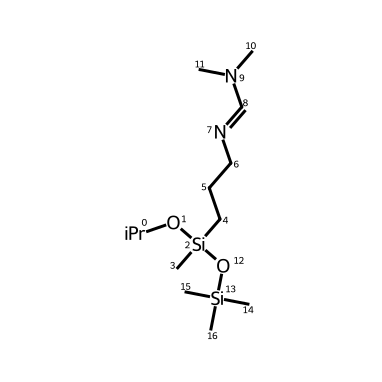 CC(C)O[Si](C)(CCC/N=C/N(C)C)O[Si](C)(C)C